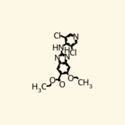 CCOC(=O)c1cc2nc(Nc3c(Cl)cncc3Cl)[nH]c2cc1OCC